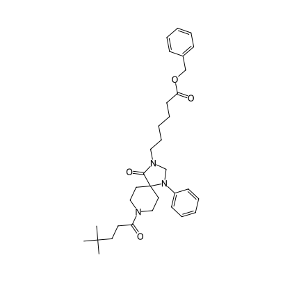 CC(C)(C)CCC(=O)N1CCC2(CC1)C(=O)N(CCCCCC(=O)OCc1ccccc1)CN2c1ccccc1